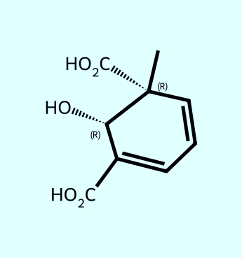 C[C@@]1(C(=O)O)C=CC=C(C(=O)O)[C@@H]1O